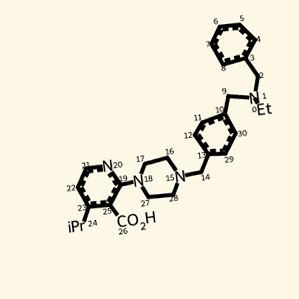 CCN(Cc1ccccc1)Cc1ccc(CN2CCN(c3nccc(C(C)C)c3C(=O)O)CC2)cc1